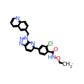 [CH2]CONC(=O)c1ccc(-c2ccc3nnn(Cc4ccc5ncccc5c4)c3n2)cc1Cl